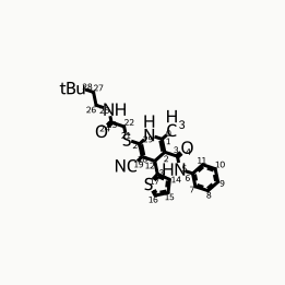 CC1=C(C(=O)Nc2ccccc2)C(c2cccs2)C(C#N)=C(SCC(=O)NCCC(C)(C)C)N1